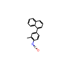 Cc1cc(-c2cccc3ccccc23)ccc1N=C=O